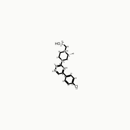 C[C@@H]1CN(c2nncc(-c3ccc(Cl)cc3)n2)CCN1CC(=O)O